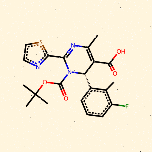 CC1=C(C(=O)O)[C@H](c2cccc(F)c2C)N(C(=O)OC(C)(C)C)C(c2nccs2)=N1